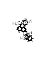 C=C(c1cccc2cc(Nc3n[nH]c4cccnc34)ccc12)N1CCNCC1